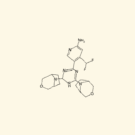 Nc1cc(C(F)F)c(C2=NC(N3C4CCC3COC4)NC(N3C4CCC3COC4)=N2)cn1